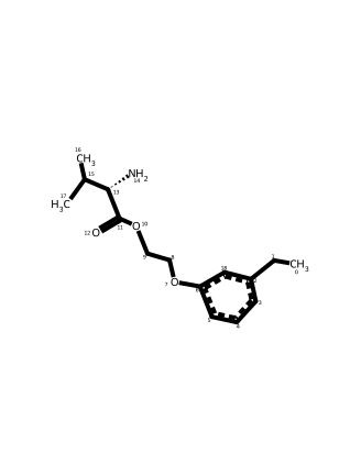 CCc1cccc(OCCOC(=O)[C@@H](N)C(C)C)c1